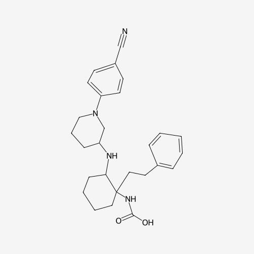 N#Cc1ccc(N2CCCC(NC3CCCCC3(CCc3ccccc3)NC(=O)O)C2)cc1